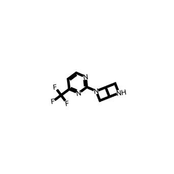 FC(F)(F)c1ccnc(N2CC3NCC32)n1